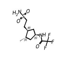 C[C@H]1C[C@H](NC(=O)C(F)(F)F)C[C@@H]1CCS(N)(=O)=O